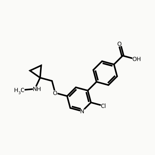 CNC1(COc2cnc(Cl)c(-c3ccc(C(=O)O)cc3)c2)CC1